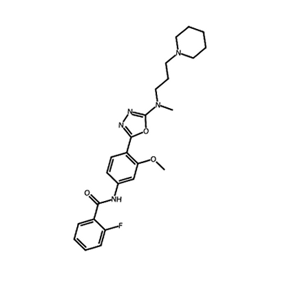 COc1cc(NC(=O)c2ccccc2F)ccc1-c1nnc(N(C)CCCN2CCCCC2)o1